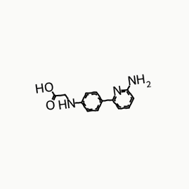 Nc1cccc(-c2ccc(NCC(=O)O)cc2)n1